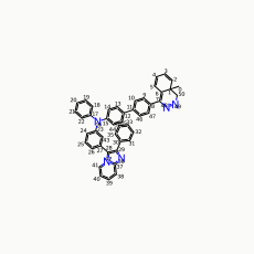 CC12C=CC=CC1=C(c1ccc(-c3ccc(N(c4ccccc4)c4cccc(-c5c(-c6ccccc6)nc6ccccn56)c4)cc3)cc1)N=NC2